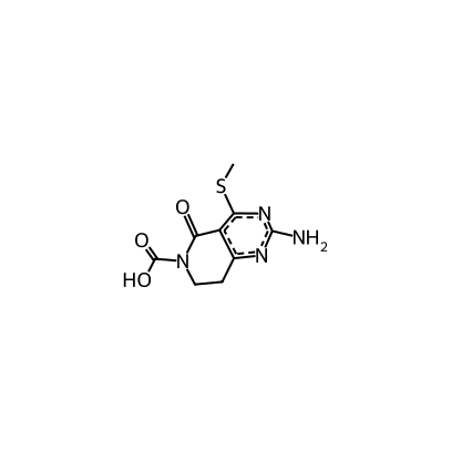 CSc1nc(N)nc2c1C(=O)N(C(=O)O)CC2